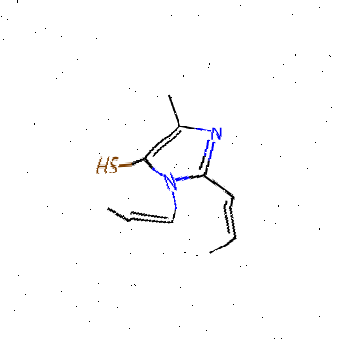 C/C=C\c1nc(C)c(S)n1/C=C\C